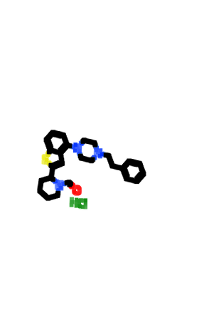 Cl.O=CN1CCCCC1c1cc2c(N3CCN(CCc4ccccc4)CC3)cccc2s1